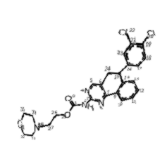 O=C(Nc1ncc2c(n1)-c1ccccc1C(c1ccc(Cl)c(Cl)c1)C2)OCCN1CCOCC1